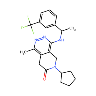 Cc1nnc(NC(C)c2cccc(C(F)(F)F)c2)c2c1CC(=O)N(C1CCCC1)C2